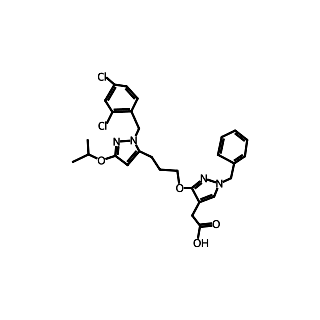 CC(C)Oc1cc(CCCOc2nn(Cc3ccccc3)cc2CC(=O)O)n(Cc2ccc(Cl)cc2Cl)n1